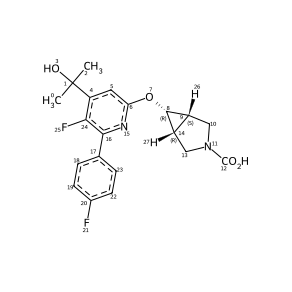 CC(C)(O)c1cc(O[C@@H]2[C@@H]3CN(C(=O)O)C[C@@H]32)nc(-c2ccc(F)cc2)c1F